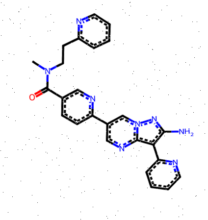 CN(CCc1ccccn1)C(=O)c1ccc(-c2cnc3c(-c4ccccn4)c(N)nn3c2)nc1